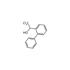 OC(c1ccccc1-c1ccccc1)C(Cl)(Cl)Cl